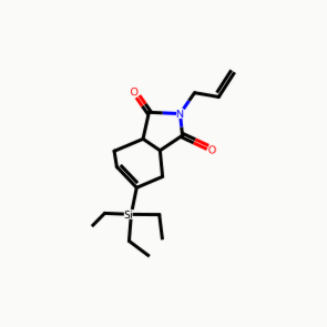 C=CCN1C(=O)C2CC=C([Si](CC)(CC)CC)CC2C1=O